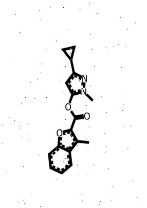 Cc1c(C(=O)Oc2cc(C3CC3)nn2C)oc2ccccc12